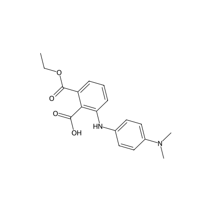 CCOC(=O)c1cccc(Nc2ccc(N(C)C)cc2)c1C(=O)O